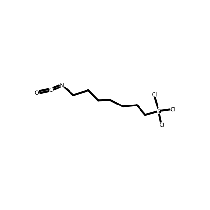 O=C=NCCCCCCC[Si](Cl)(Cl)Cl